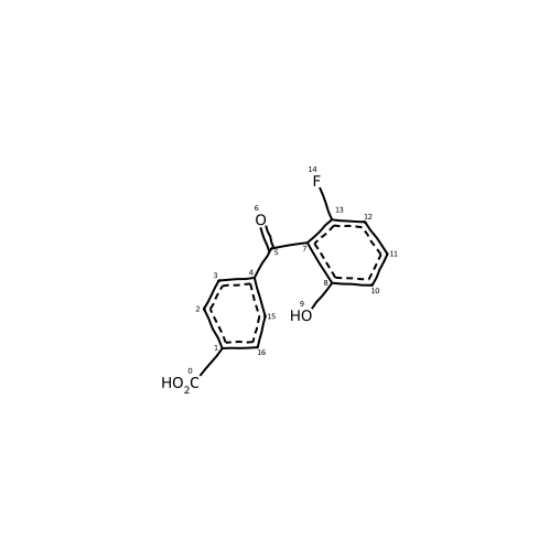 O=C(O)c1ccc(C(=O)c2c(O)cccc2F)cc1